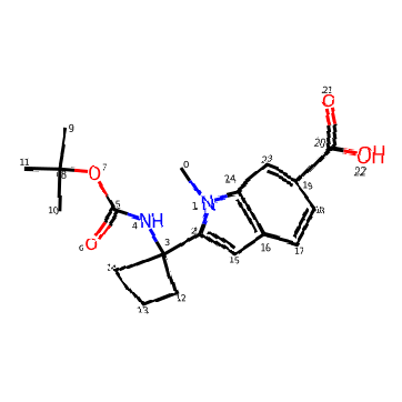 Cn1c(C2(NC(=O)OC(C)(C)C)CCC2)cc2ccc(C(=O)O)cc21